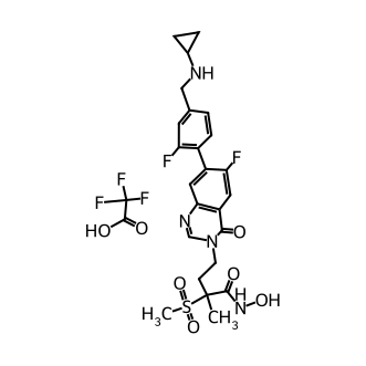 CC(CCn1cnc2cc(-c3ccc(CNC4CC4)cc3F)c(F)cc2c1=O)(C(=O)NO)S(C)(=O)=O.O=C(O)C(F)(F)F